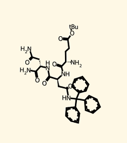 CC(C)(C)OC(=O)CC[C@H](N)C(=O)N[C@@H](CC(=O)NC(c1ccccc1)(c1ccccc1)c1ccccc1)C(=O)N[C@@H](CC(N)=O)C(N)=O